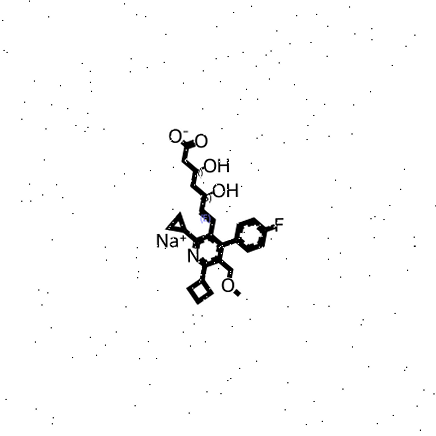 COCc1c(C2CCC2)nc(C2CC2)c(/C=C/[C@@H](O)C[C@@H](O)CC(=O)[O-])c1-c1ccc(F)cc1.[Na+]